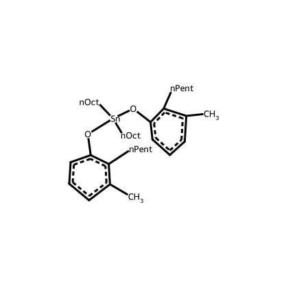 CCCCCCC[CH2][Sn]([CH2]CCCCCCC)([O]c1cccc(C)c1CCCCC)[O]c1cccc(C)c1CCCCC